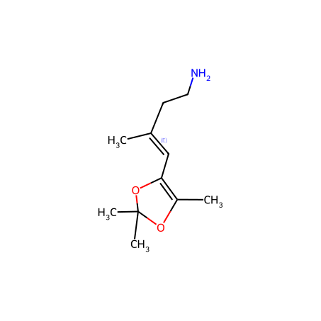 CC1=C(/C=C(\C)CCN)OC(C)(C)O1